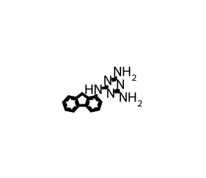 Nc1nc(N)nc(Nc2cccc3c2Cc2ccccc2-3)n1